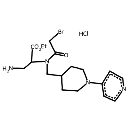 CCOC(=O)C(CN)N(CC1CCN(c2ccncc2)CC1)C(=O)CBr.Cl